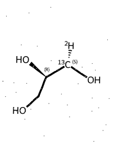 [2H][13C@H](O)[C@H](O)CO